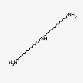 NCCCCCCCCCCCCCCCNCCCCCCCCCCCCCCCN